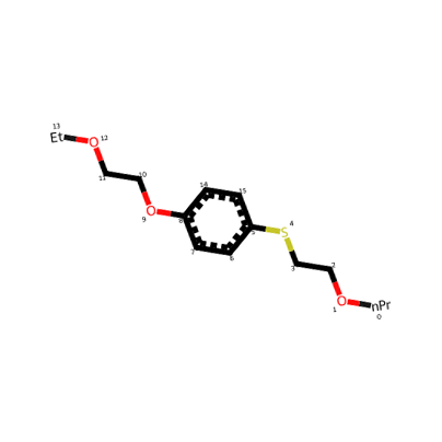 CCCOCCSc1ccc(OCCOCC)cc1